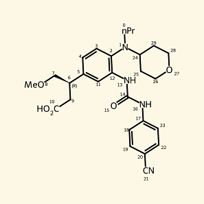 CCCN(c1ccc([C@H](COC)CC(=O)O)cc1NC(=O)Nc1ccc(C#N)cc1)C1CCOCC1